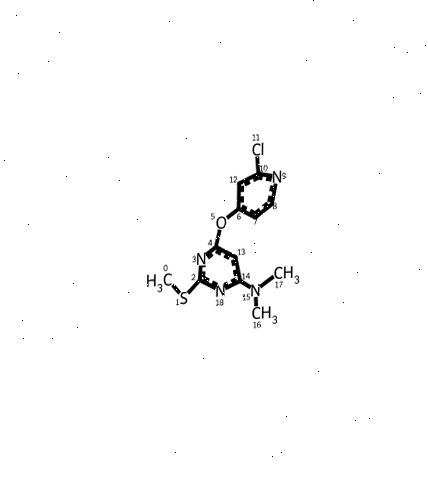 CSc1nc(Oc2ccnc(Cl)c2)cc(N(C)C)n1